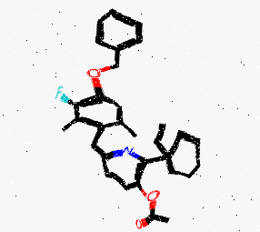 C=CC1(c2nc(Cc3c(C)cc(OCc4ccccc4)c(F)c3C)ccc2OC(C)=O)CCCCC1